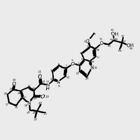 COc1cc2c(Oc3ccc(NC(=O)c4cc5c(n(CC(C)(C)C)c4=O)CCCC5=O)nc3)ccnc2cc1OC[C@@H](O)C(C)(C)O